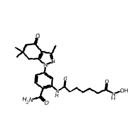 Cc1nn(-c2ccc(C(N)=O)c(NC(=O)CCCCCC(=O)NO)c2)c2c1C(=O)CC(C)(C)C2